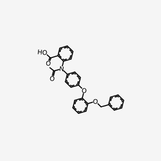 CC(=O)N(c1ccc(Oc2ccccc2OCc2ccccc2)cc1)c1ccccc1C(=O)O